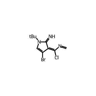 C=N/C(Cl)=C1\C(=N)N(C(C)(C)C)C=C1Br